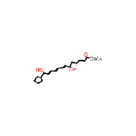 COC(=O)CCCCC(O)C=CC=CC=CC(O)C1CCCC1